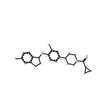 Cc1c[c]c2c(c1)CCC2Oc1ccc(C2CCN(C(=O)C3CC3)CC2)cc1C